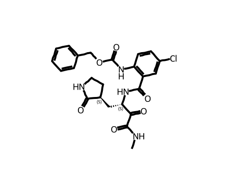 CNC(=O)C(=O)[C@H](C[C@@H]1CCNC1=O)NC(=O)c1cc(Cl)ccc1NC(=O)OCc1ccccc1